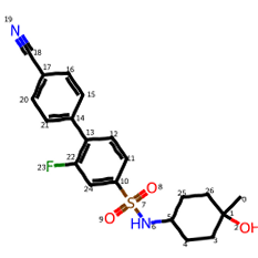 CC1(O)CCC(NS(=O)(=O)c2ccc(-c3ccc(C#N)cc3)c(F)c2)CC1